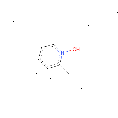 Cc1cccc[n+]1O